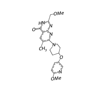 COCc1nc2nc(N3CCC(Oc4ccc(OC)nc4)CC3)c(C)cc2c(=O)[nH]1